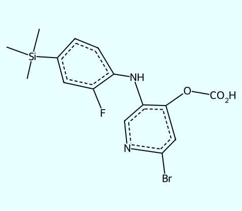 C[Si](C)(C)c1ccc(Nc2cnc(Br)cc2OC(=O)O)c(F)c1